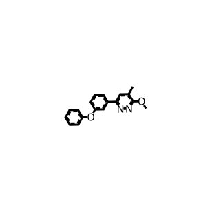 COc1nnc(-c2cccc(Oc3ccccc3)c2)cc1C